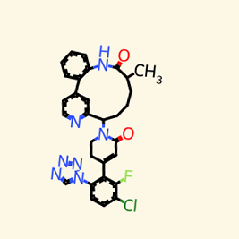 CC1CCCC(N2CCC(c3c(-n4cnnn4)ccc(Cl)c3F)=CC2=O)c2cc(ccn2)-c2ccccc2NC1=O